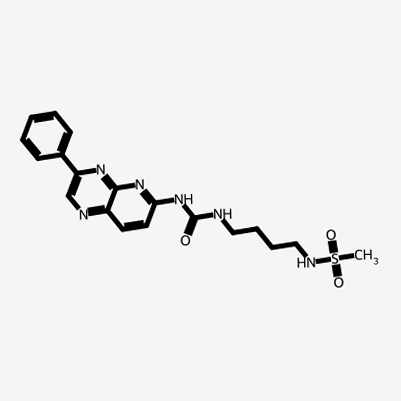 CS(=O)(=O)NCCCCNC(=O)Nc1ccc2ncc(-c3ccccc3)nc2n1